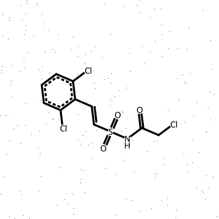 O=C(CCl)NS(=O)(=O)C=Cc1c(Cl)cccc1Cl